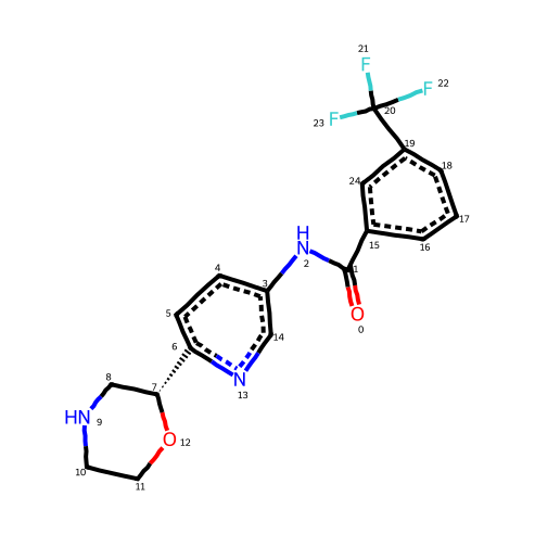 O=C(Nc1ccc([C@H]2CNCCO2)nc1)c1cccc(C(F)(F)F)c1